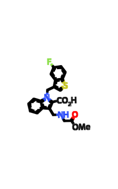 COC(=O)CNCc1c(C(=O)O)n(Cc2csc3ccc(F)cc23)c2ccccc12